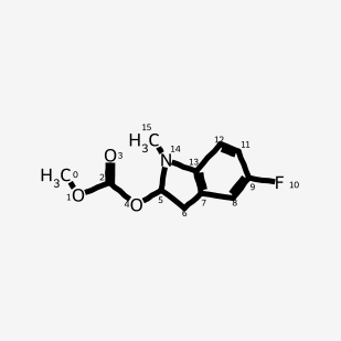 COC(=O)OC1Cc2cc(F)ccc2N1C